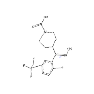 O=C(O)N1CCC(/C(=N\O)c2cc(C(F)(F)F)ccc2F)CC1